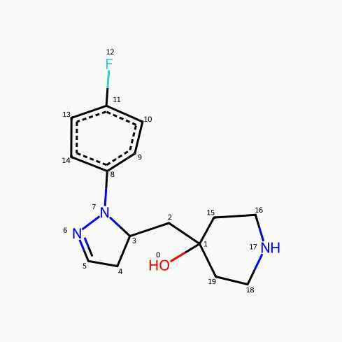 OC1(CC2CC=NN2c2ccc(F)cc2)CCNCC1